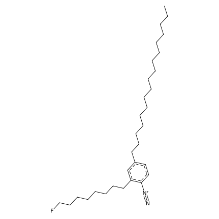 CCCCCCCCCCCCCCCCCc1ccc([N+]#N)c(CCCCCCCCF)c1